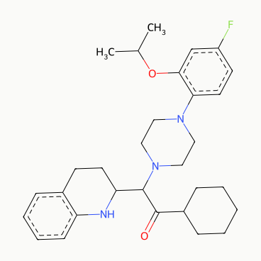 CC(C)Oc1cc(F)ccc1N1CCN(C(C(=O)C2CCCCC2)C2CCc3ccccc3N2)CC1